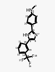 CNc1ccc(-c2ncc(-c3cccc(C(F)(F)F)c3)[nH]2)cc1